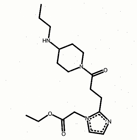 CCCNC1CCN(C(=O)CCc2nccn2CC(=O)OCC)CC1